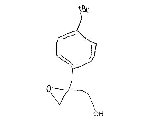 CC(C)(C)c1ccc(C2(CO)CO2)cc1